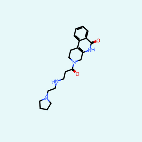 O=C(CCNCCN1CCCC1)N1CCc2c([nH]c(=O)c3ccccc23)C1